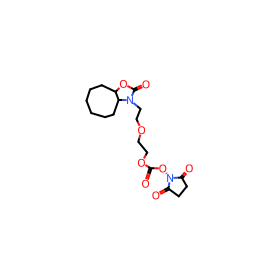 O=C(OCCOCCN1C(=O)OC2CCCCCCC21)ON1C(=O)CCC1=O